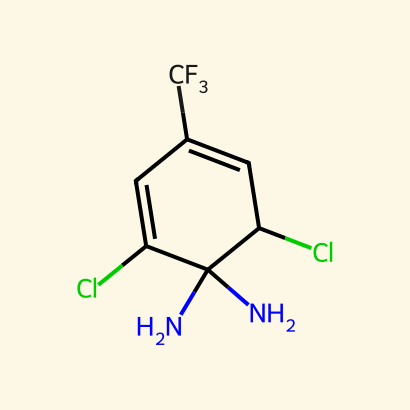 NC1(N)C(Cl)=CC(C(F)(F)F)=CC1Cl